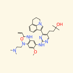 C=CC(=O)Nc1cc(Nc2ncc(CCC(C)(C)O)c(-c3cn4c5c(cccc35)CCC4)n2)c(OC)cc1N(C)CCN(C)C